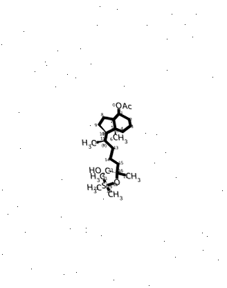 CC(=O)OC1CCC[C@]2(C)C1CC[C@@H]2[C@H](C)CCC[C@@](C)(O[Si](C)(C)C)C(=O)O